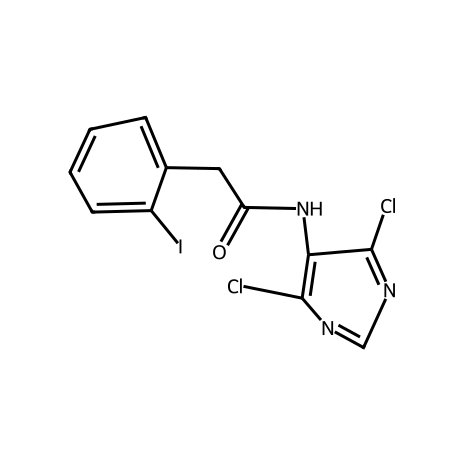 O=C(Cc1ccccc1I)Nc1c(Cl)ncnc1Cl